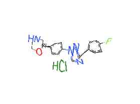 Cl.Fc1ccc(-c2ncn(-c3ccc([C@@H]4CNCCO4)cc3)n2)cc1